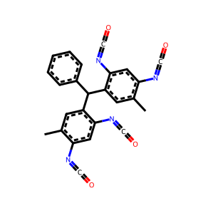 Cc1cc(C(c2ccccc2)c2cc(C)c(N=C=O)cc2N=C=O)c(N=C=O)cc1N=C=O